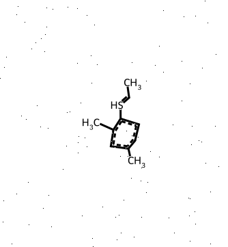 CC=[SH]c1ccc(C)cc1C